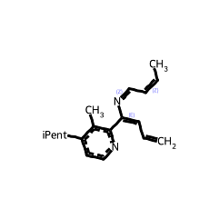 C=C/C=C(/N=C\C=C/C)c1nccc(C(C)CCC)c1C